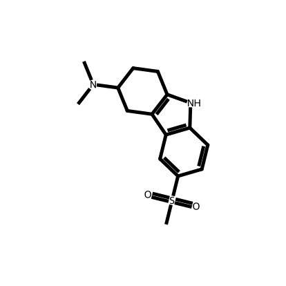 CN(C)C1CCc2[nH]c3ccc(S(C)(=O)=O)cc3c2C1